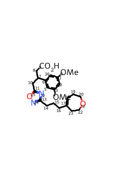 COc1cc(OC)cc(C(CC(=O)O)Cc2nc(CCCC3=CCCOCC3)no2)c1